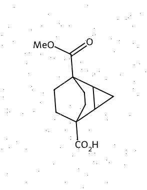 COC(=O)C12CCC(C(=O)O)(CC1)C1CC12